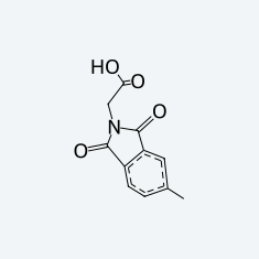 Cc1ccc2c(c1)C(=O)N(CC(=O)O)C2=O